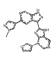 Cn1cc(-c2cc3c(-c4nc5c(-c6ccoc6)cncc5[nH]4)n[nH]c3cn2)cn1